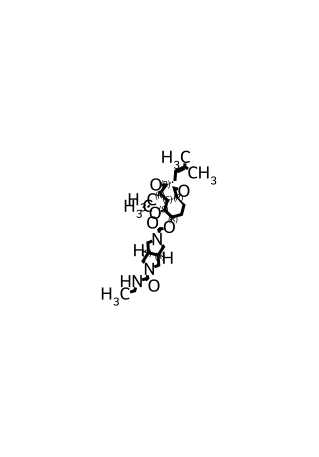 CCNC(=O)N1C[C@@H]2CN(C(=O)O[C@@H]3CC[C@]4(CO4)[C@@H]([C@@]4(C)O[C@@H]4CC=C(C)C)[C@@H]3OC)C[C@@H]2C1